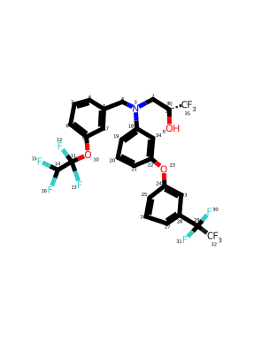 O[C@H](CN(Cc1cccc(OC(F)(F)C(F)F)c1)c1cccc(Oc2cccc(C(F)(F)C(F)(F)F)c2)c1)C(F)(F)F